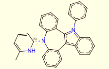 CC1=CC=C[C@H](N2c3ccccc3-c3c(n(-c4ccccc4)c4ccccc34)-c3ccccc32)N1